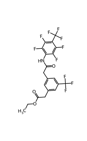 CCOC(=O)Cc1cc(CC(=O)Nc2c(F)c(F)c(C(F)(F)F)c(F)c2F)cc(C(F)(F)F)c1